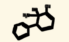 NC1(O)C(O)=CC=CC1c1ccccc1